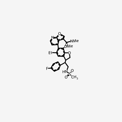 CCc1cc2c(c(OC)c1-c1ccnc3occ(C(=O)NC)c13)OCC2C(CNS(C)(=O)=O)c1ccc(F)cc1